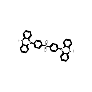 O=S(=O)(c1ccc(N2c3ccccc3Nc3ccccc32)cc1)c1ccc(N2c3ccccc3Nc3ccccc32)cc1